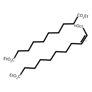 CCCCCCCC/C=C\CCCCCCCC(=O)OCC.CCOC(=O)CCCCCCCCC(=O)OCC